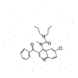 CCCN(CCC)C(=O)N(C)c1c(C(=O)c2ccccc2)cnc2ccc(Cl)cc12